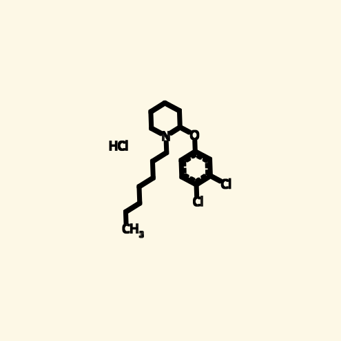 CCCCCCCN1CCCCC1Oc1ccc(Cl)c(Cl)c1.Cl